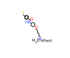 CCCCCN(C)CCCCCCOC1CCC(NC(=O)c2ccc(CF)cc2)CC1